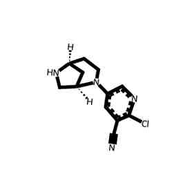 N#Cc1cc(N2CC[C@H]3C[C@@H]2CN3)cnc1Cl